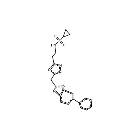 O=S(=O)(NCCc1nnc(Cc2nc3ccc(-c4ccccc4)cc3s2)o1)C1CC1